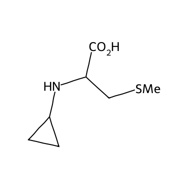 CSCC(NC1CC1)C(=O)O